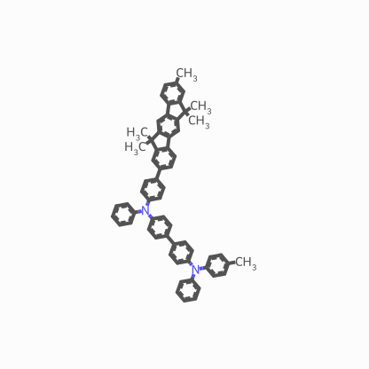 Cc1ccc(N(c2ccccc2)c2ccc(-c3ccc(N(c4ccccc4)c4ccc(-c5ccc6c(c5)C(C)(C)c5cc7c(cc5-6)C(C)(C)c5cc(C)ccc5-7)cc4)cc3)cc2)cc1